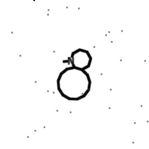 CN1CCCCCC2CCCCCCCCCCCC21